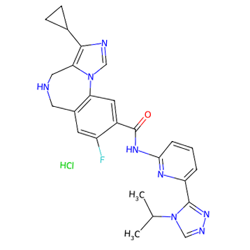 CC(C)n1cnnc1-c1cccc(NC(=O)c2cc3c(cc2F)CNCc2c(C4CC4)ncn2-3)n1.Cl